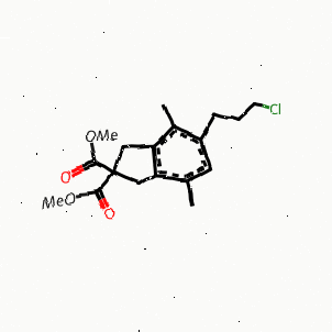 COC(=O)C1(C(=O)OC)Cc2c(C)cc(CCCCl)c(C)c2C1